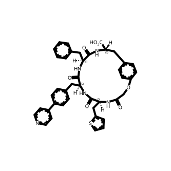 O=C1COc2ccc(cc2)C[C@@H](C(=O)O)NC(=O)[C@H](Cc2ccccc2)NC(=O)[C@H](Cc2ccc(-c3ccncc3)cc2)NC(=O)[C@H](Cc2cccs2)N1